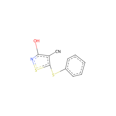 N#Cc1c(O)nsc1Sc1ccccc1